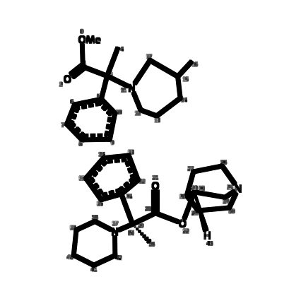 COC(=O)C(C)(c1ccccc1)N1CCCC(C)C1.C[C@@](C(=O)O[C@H]1CN2CCC1CC2)(c1ccccc1)N1CCCCC1